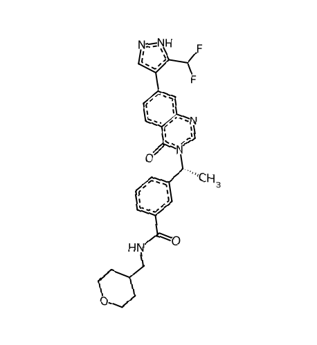 C[C@H](c1cccc(C(=O)NCC2CCOCC2)c1)n1cnc2cc(-c3cn[nH]c3C(F)F)ccc2c1=O